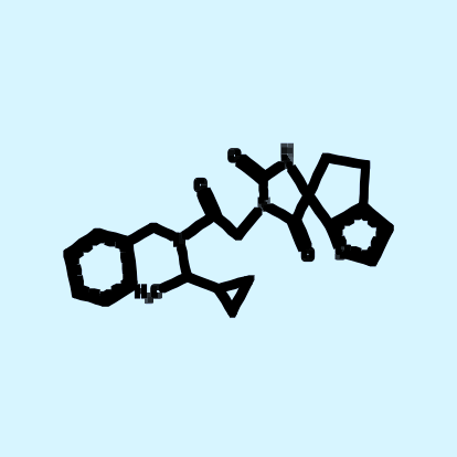 CC(C1CC1)N(Cc1ccccc1)C(=O)CN1C(=O)NC2(CCc3ccsc32)C1=O